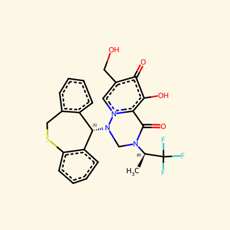 C[C@@H](N1CN([C@H]2c3ccccc3CSc3ccccc32)n2cc(CO)c(=O)c(O)c2C1=O)C(F)(F)F